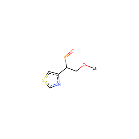 CCOCC(P=O)c1cs[c]n1